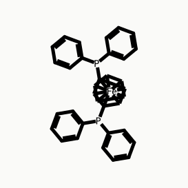 c1ccc(P(c2ccccc2)[C]23[CH]4[CH]5[C]6(P(c7ccccc7)c7ccccc7)[CH]2[Fe]45362789[CH]3[CH]2[CH]7[CH]8[CH]39)cc1